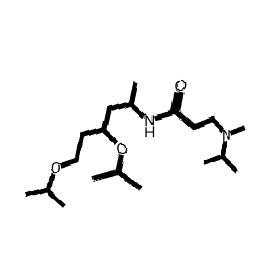 CC(CC(CCOC(C)C)OC(C)C)NC(=O)CCN(C)C(C)C